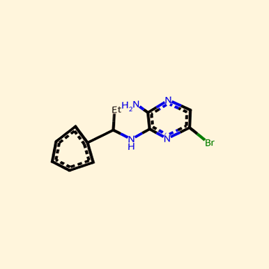 CCC(Nc1nc(Br)cnc1N)c1ccccc1